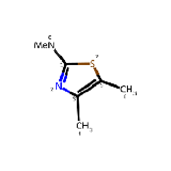 CNc1nc(C)c(C)s1